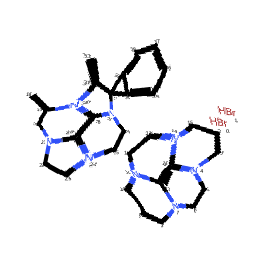 Br.Br.C1CN2CCN3CCCN4CCN(C1)C2=C34.C=C1CN2CCN3CCN4C(C32)N1C(=C)C41c2ccccc21